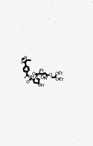 CCOC(COc1cc([C@@H](C(=O)N2C[C@H](O)C[C@H]2C(=O)N[C@@H](C)c2ccc(-c3scnc3C)cc2)C(C)C)on1)OCC